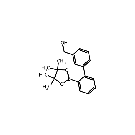 CC1(C)OB(c2ccccc2-c2cccc(CO)c2)OC1(C)C